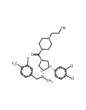 CN(Cc1ccc(C(F)(F)F)c(F)c1)[C@@H]1CN(C(=O)N2CCN(CCC#N)CC2)C[C@@H]1c1ccc(Cl)c(Cl)c1